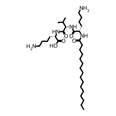 CCCCCCCCCCCCCCCC(=O)N[C@@H](CCCCN)C(=O)N[C@H](C(=O)N[C@@H](CCCCN)C(=O)O)C(C)C